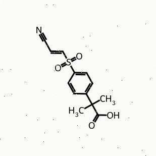 CC(C)(C(=O)O)c1ccc(S(=O)(=O)C=CC#N)cc1